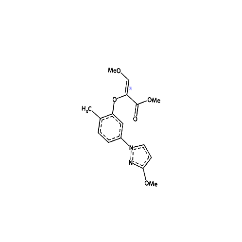 CO/C=C(\Oc1cc(-n2ccc(OC)n2)ccc1C)C(=O)OC